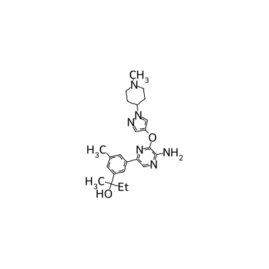 CCC(C)(O)c1cc(C)cc(-c2cnc(N)c(Oc3cnn(C4CCN(C)CC4)c3)n2)c1